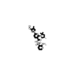 CCOc1nn(-c2ccc(C(=O)NS(=O)(=O)c3cccnc3N)c(N3C[C@@H](C)CC3(C)C)n2)cc1C